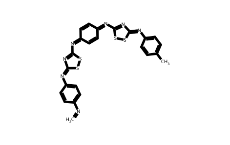 C=Nc1ccc(N=c2nc(N=C3C=CC(=Nc4nc(=Nc5ccc(C)cc5)ss4)C=C3)ss2)cc1